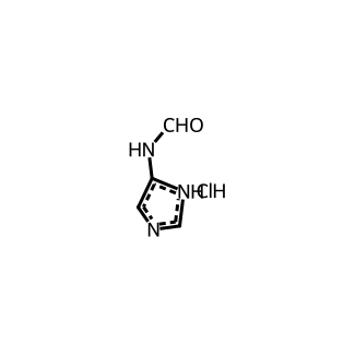 Cl.O=CNc1cnc[nH]1